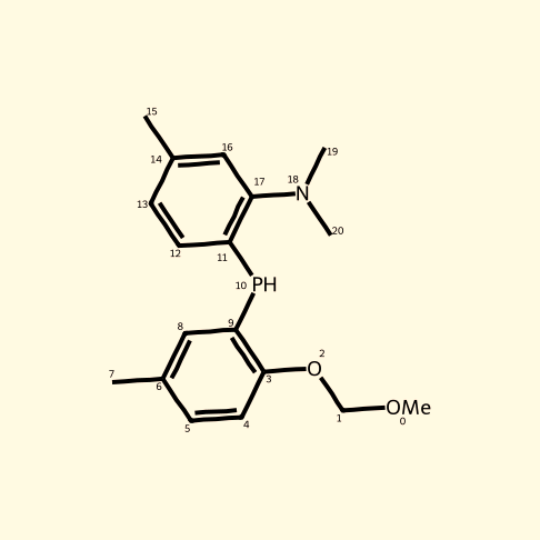 COCOc1ccc(C)cc1Pc1ccc(C)cc1N(C)C